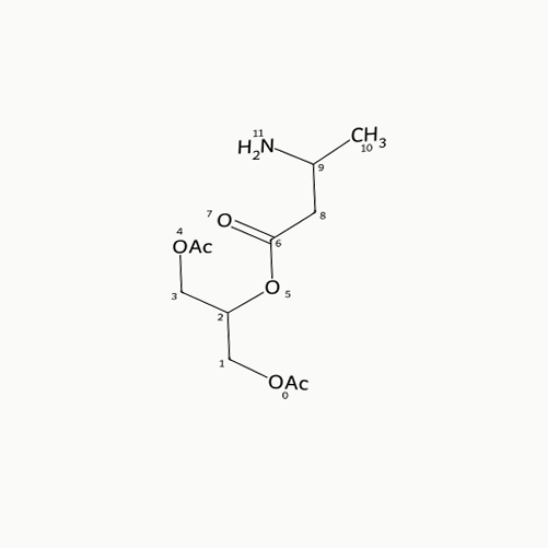 CC(=O)OCC(COC(C)=O)OC(=O)CC(C)N